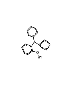 CC(C)Oc1ccccc1[C](c1ccccc1)c1ccccc1